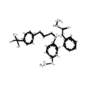 CNC(=O)[C@H](c1ccccc1)N(CCCc1ccc(C(F)(F)F)cc1)c1ccc(OC)nc1